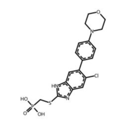 O=P(O)(O)CSc1nc2cc(Cl)c(-c3ccc(N4CCOCC4)cc3)cc2[nH]1